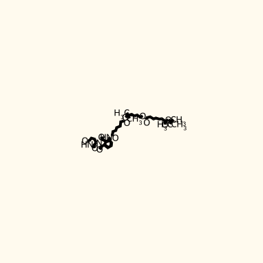 CC(C)(C)OC(=O)CCCCCC(=O)OCCCCC(C)(C)OC(=O)CCCCCC(=O)Nc1cccc2c1C(=O)N(C1CCC(=O)NC1=O)C2=O